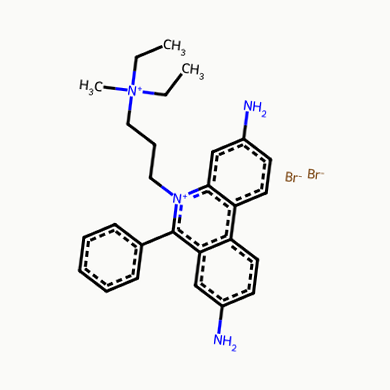 CC[N+](C)(CC)CCC[n+]1c(-c2ccccc2)c2cc(N)ccc2c2ccc(N)cc21.[Br-].[Br-]